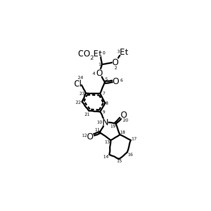 CCOC(=O)C(OCC)OC(=O)c1cc(N2C(=O)C3CCCCC3C2=O)ccc1Cl